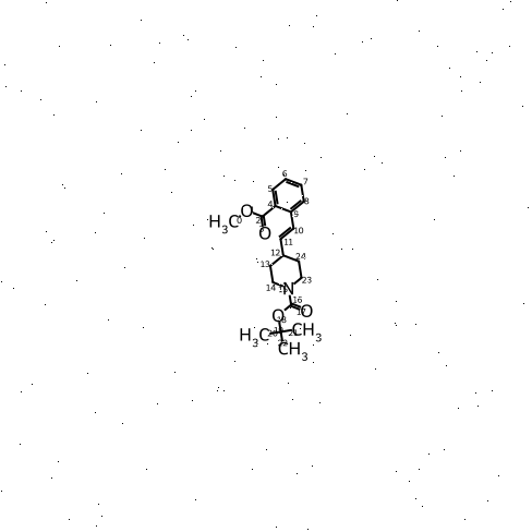 COC(=O)c1ccccc1/C=C/C1CCN(C(=O)OC(C)(C)C)CC1